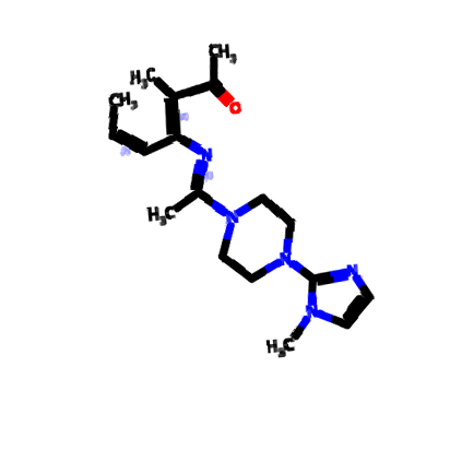 C\C=C/C(/N=C(\C)N1CCN(c2nccn2C)CC1)=C(\C)C(C)=O